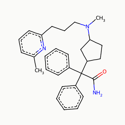 Cc1cccc(CCCN(C)C2CCC(C(C(N)=O)(c3ccccc3)c3ccccc3)C2)n1